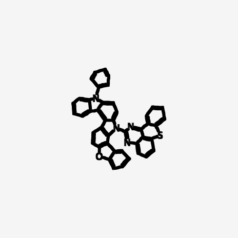 c1ccc(-n2c3ccccc3c3c4c5ccc6oc7ccccc7c6c5n(-c5nc6c7c(cccc7n5)Sc5ccccc5-6)c4ccc32)cc1